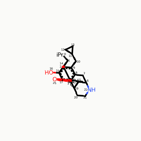 CC(C)CCC1CC2C3Cc4c(CC5CC5)cc(O)cc4C2(CCN3)CC1=O